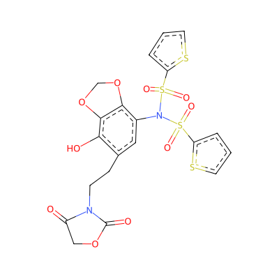 O=C1COC(=O)N1CCc1cc(N(S(=O)(=O)c2cccs2)S(=O)(=O)c2cccs2)c2c(c1O)OCO2